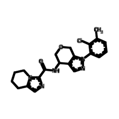 Cc1cccc(-n2ncc3c2COCC3NC(=O)c2ncc3n2CCCC3)c1Cl